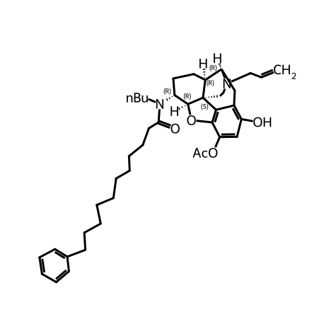 C=CCN1CC[C@]23c4c5c(O)cc(OC(C)=O)c4O[C@H]2[C@H](N(CCCC)C(=O)CCCCCCCCCCc2ccccc2)CC[C@H]3[C@H]1C5